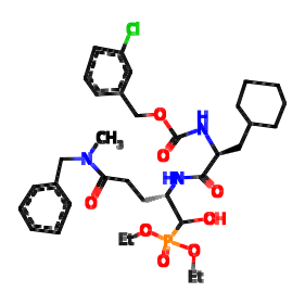 CCOP(=O)(OCC)C(O)[C@H](CCC(=O)N(C)Cc1ccccc1)NC(=O)[C@H](CC1CCCCC1)NC(=O)OCc1cccc(Cl)c1